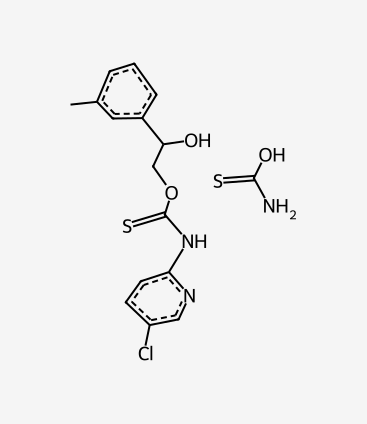 Cc1cccc(C(O)COC(=S)Nc2ccc(Cl)cn2)c1.NC(O)=S